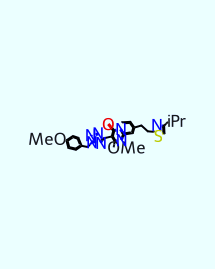 COc1ccc(Cn2nnc(-c3c(OC)nc4cc(CCc5nc(C(C)C)cs5)ccn4c3=O)n2)cc1